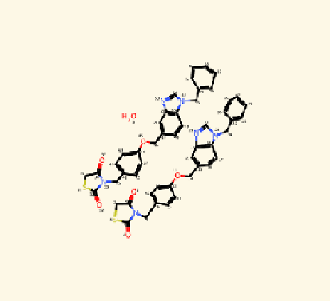 O.O=C1CSC(=O)N1Cc1ccc(OCc2ccc3c(c2)ncn3Cc2ccccc2)cc1.O=C1CSC(=O)N1Cc1ccc(OCc2ccc3c(c2)ncn3Cc2ccccc2)cc1